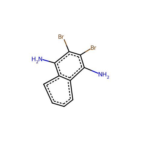 Nc1c(Br)c(Br)c(N)c2ccccc12